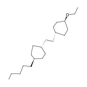 CCCCC[C@H]1CC[C@H](CC[C@H]2CC[C@H](OCC)CC2)CC1